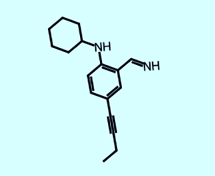 CCC#Cc1ccc(NC2CCCCC2)c(C=N)c1